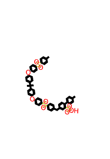 Cc1ccc(-c2ccc(Cc3ccc(S(=O)(=O)c4ccc(Oc5ccc(C(C)(C)c6ccc(Oc7ccc(S(=O)(=O)c8ccc(C)cc8)cc7)cc6)cc5)cc4)cc3)cc2S(=O)(=O)O)cc1